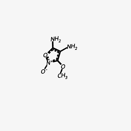 COc1c(N)c(N)o[n+]1[O-]